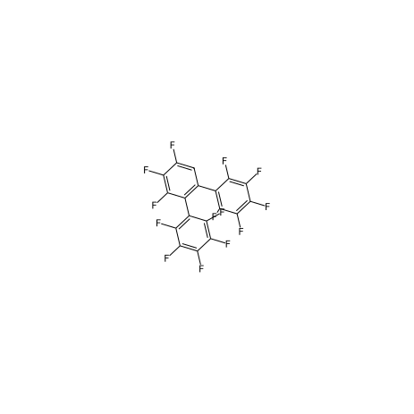 Fc1cc(-c2c(F)c(F)c(F)c(F)c2F)c(-c2c(F)c(F)c(F)c(F)c2F)c(F)c1F